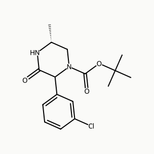 C[C@@H]1CN(C(=O)OC(C)(C)C)C(c2cccc(Cl)c2)C(=O)N1